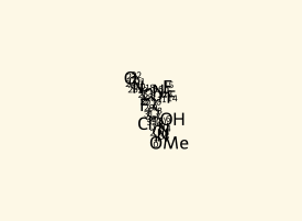 COc1ccc([C@@H](O)c2cc(-c3cc(C(F)F)nc4cc(N5CCOCC5)ccc34)c(F)cc2Cl)nn1